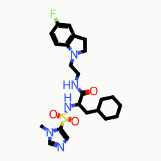 Cn1cncc1S(=O)(=O)NC(CC1CCCCC1)C(=O)NCCN1CCc2cc(F)ccc21